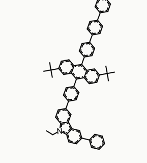 CCn1c2ccc(-c3ccccc3)cc2c2cc(-c3ccc(-c4c5ccc(C(C)(C)C)cc5c(-c5ccc(-c6ccc(-c7ccccc7)cc6)cc5)c5ccc(C(C)(C)C)cc45)cc3)ccc21